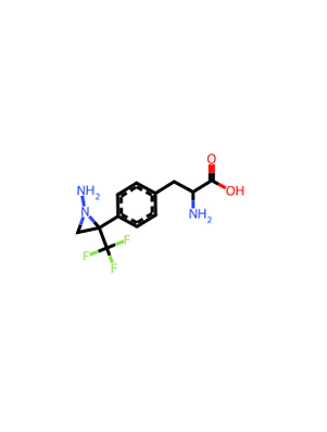 NC(Cc1ccc(C2(C(F)(F)F)CN2N)cc1)C(=O)O